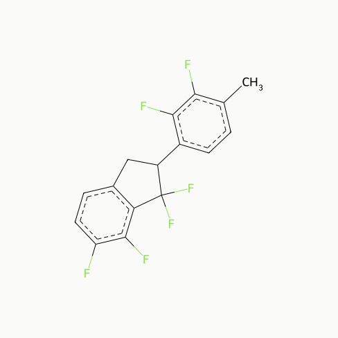 Cc1ccc(C2Cc3ccc(F)c(F)c3C2(F)F)c(F)c1F